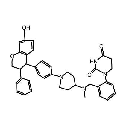 CN(Cc1ccccc1N1CCC(=O)NC1=O)C1CCN(c2ccc(C3c4ccc(O)cc4OCC3c3ccccc3)cc2)CC1